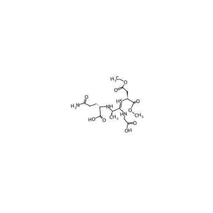 COC(=O)C[C@H]([SH]=C(NCC(=O)O)[C@@H](C)N[C@@H](CCC(N)=O)C(=O)O)C(=O)OC